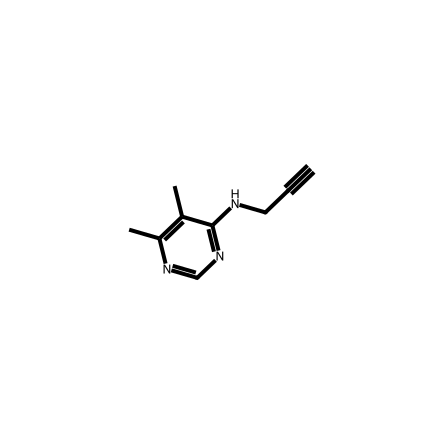 C#CCNc1ncnc(C)c1C